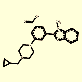 Cn1c(-c2cccc(N3CCN(CC4CC4)CC3)c2)nc2ccccc21.O=CO